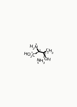 CC(O)[C@H](N)C(=O)O.N